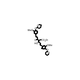 CCOC(=O)C/C(C(=O)/C=C/c1ccc(OC2CCCCO2)c(OC)c1)=C(O)\C=C\c1ccc(OC2CCCCO2)c(OC)c1